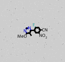 COc1ncnc(-c2cc([N+](=O)[O-])c(C#N)cc2F)c1C